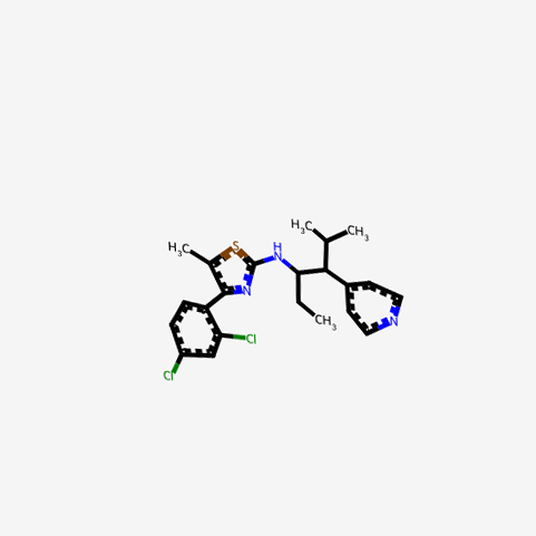 CCC(Nc1nc(-c2ccc(Cl)cc2Cl)c(C)s1)C(c1ccncc1)C(C)C